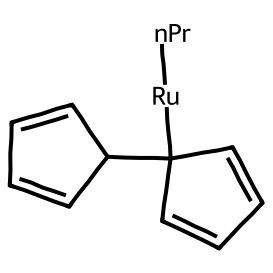 CC[CH2][Ru][C]1(C2C=CC=C2)C=CC=C1